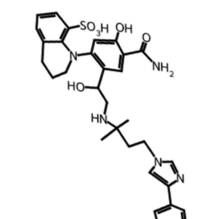 CC(C)(CCn1cnc(-c2ccccc2)c1)NCC(O)c1cc(C(N)=O)c(O)cc1N1CCCc2cccc(S(=O)(=O)O)c21